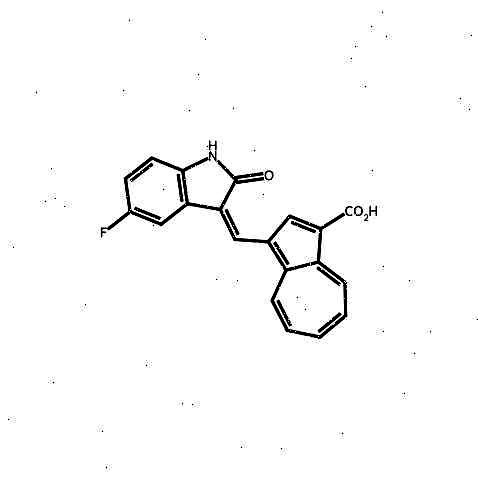 O=C1Nc2ccc(F)cc2/C1=C/c1cc(C(=O)O)c2cccccc1-2